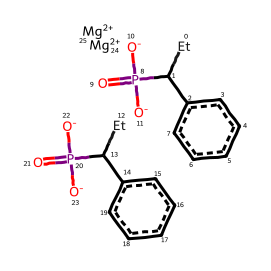 CCC(c1ccccc1)P(=O)([O-])[O-].CCC(c1ccccc1)P(=O)([O-])[O-].[Mg+2].[Mg+2]